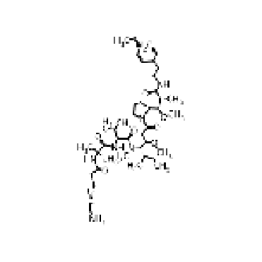 C=CC(/C=C\C=C/C)CCNC(=O)[C@H](C)[C@@H](OC)[C@@H]1CCCN1C(=O)C[C@@H](OC)[C@H](C(C)CC)N(C)C(=O)[C@@H](NC(=O)C(C)(C)NC(=O)CCOCCN)C(C)C